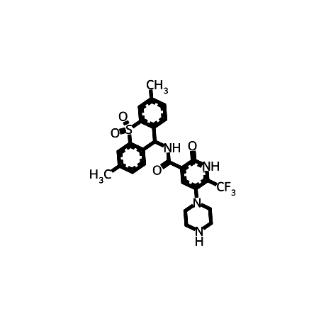 Cc1ccc2c(c1)S(=O)(=O)c1cc(C)ccc1C2NC(=O)c1cc(N2CCNCC2)c(C(F)(F)F)[nH]c1=O